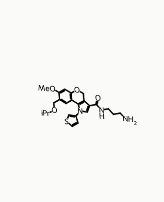 COc1cc2c(cc1COC(C)C)-c1c(c(C(=O)NCCCN)cn1-c1ccsc1)CO2